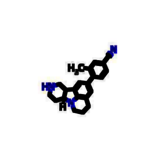 Cc1cc(C#N)ccc1-c1cc2c3c(c1)C1CNCC[C@@H]1N3CCC2